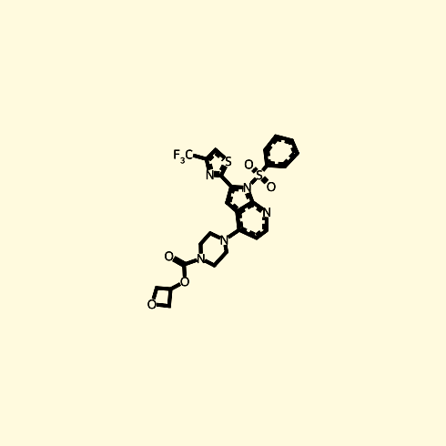 O=C(OC1COC1)N1CCN(c2ccnc3c2cc(-c2nc(C(F)(F)F)cs2)n3S(=O)(=O)c2ccccc2)CC1